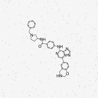 O=C(N[C@H]1CCN(Cc2ccccc2)C1)c1ccc(Nc2ncc(-c3ccc4c(c3)CNCO4)n3ncnc23)cc1